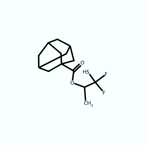 CC(OC(=O)C12CC3CC(CC(C3)C1)C2)C(F)(F)S